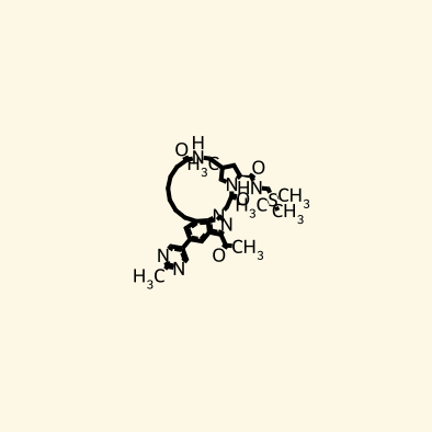 CC(=O)c1nn2c3c(cc(-c4cnc(C)nc4)cc13)CCCCCCC(=O)NC[C@]1(C)C[C@@H](C(=O)NCS(C)(C)C)N(C1)C(=O)C2